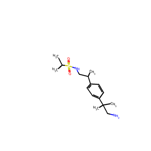 CC(CNS(=O)(=O)C(C)C)c1ccc(C(C)(C)CN)cc1